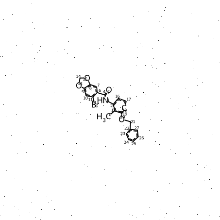 Cc1c(NC(=O)c2cc3c(cc2Br)OCO3)cccc1OCc1ccccc1